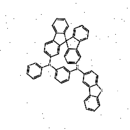 c1ccc(N(c2cccc(Nc3ccc4sc5ccccc5c4c3)c2)c2ccc3c(c2)C2(c4ccccc4-c4ccccc42)c2ccccc2-3)cc1